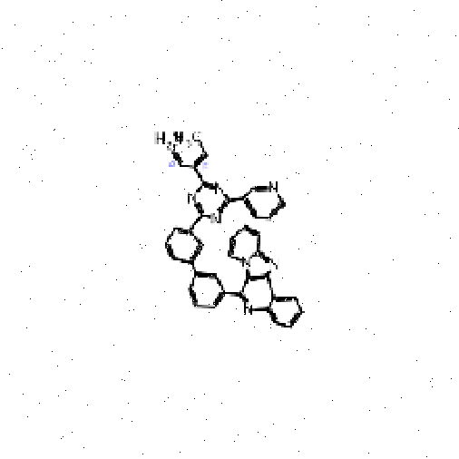 C/C=C(\C=C/N)c1nc(-c2cccnc2)nc(-c2cccc(-c3cccc(-c4nc5ccccc5c5nc6ccccn6c45)c3)c2)n1